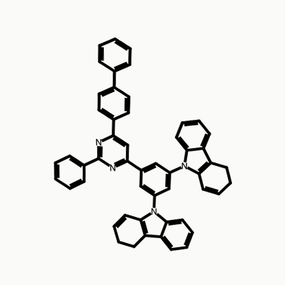 C1=Cc2c(c3ccccc3n2-c2cc(-c3cc(-c4ccc(-c5ccccc5)cc4)nc(-c4ccccc4)n3)cc(-n3c4c(c5ccccc53)CCC=C4)c2)CC1